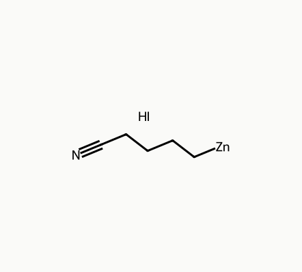 I.N#CCCC[CH2][Zn]